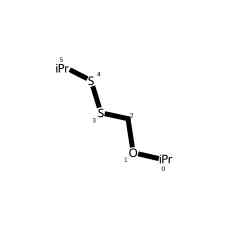 CC(C)OCSSC(C)C